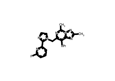 CCCc1c(Cn2ccnc2-c2cccc(F)n2)nc(C)n2nc(C)nc12